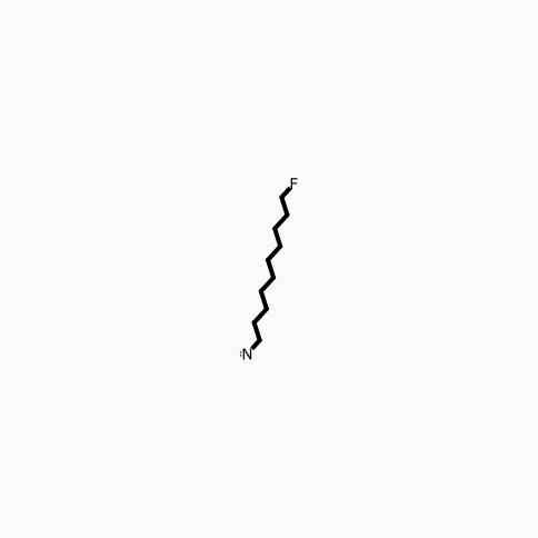 [N]CCCCCCCCCCF